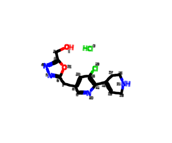 Cl.OCc1nnc(Cc2cnc(C3=CCNCC3)c(Cl)c2)o1